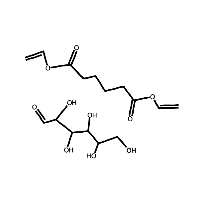 C=COC(=O)CCCCC(=O)OC=C.O=CC(O)C(O)C(O)C(O)CO